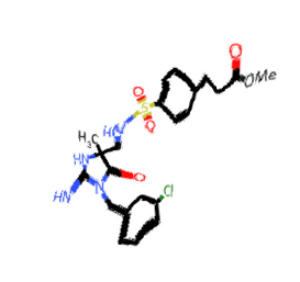 COC(=O)CCc1ccc(S(=O)(=O)NCC2(C)NC(=N)N(Cc3cccc(Cl)c3)C2=O)cc1